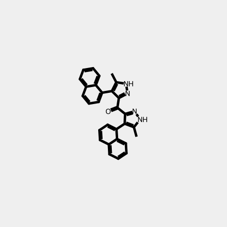 Cc1[nH]nc(C(=O)c2n[nH]c(C)c2-c2cccc3ccccc23)c1-c1cccc2ccccc12